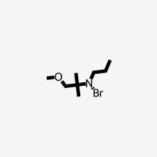 CCCN(Br)C(C)(C)COC